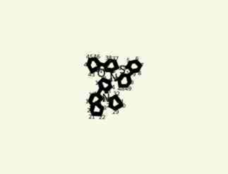 C1=c2c(sc3ccccc23)=C(N(c2ccc3c4ccc5ccccc5c4n(-c4ccccc4)c3c2)c2cccc3c2oc2ccccc23)CC1